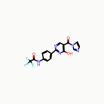 O=C(c1cnc(-c2ccc(NC(=O)C(F)(F)F)cc2)nc1O)n1ccnc1